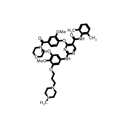 COc1cc(C(=O)N2CCOCC2)ccc1Oc1nc(Nc2cc(OC)c(OC)c(OCCCN3CCN(C)CC3)c2)ncc1C(=O)Nc1c(C)cccc1C